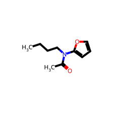 CCCCN(C(C)=O)c1ccco1